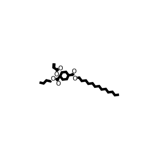 C=CC(=O)OC1(C(=O)OCCCC)CCC(C(=O)OCCCCCCCCCCCCC)CC1